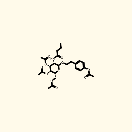 CCCC(=O)N[C@H]1C(OCCc2ccc(OC(C)=O)cc2)O[C@H](COC(C)=O)[C@@H](OC(C)=O)[C@@H]1OC(C)=O